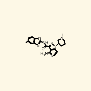 Cc1ccc2oc(NC(=O)c3nn([C@@H]4CCCNC4)c4ccnc(N)c34)nc2c1